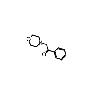 O=C(CN1CCOCC1)c1c[c]ccc1